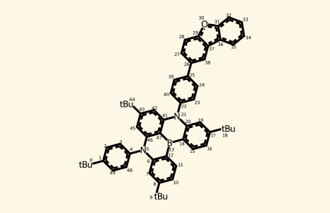 CC(C)(C)c1ccc(N2c3cc(C(C)(C)C)ccc3B3c4ccc(C(C)(C)C)cc4N(c4ccc(-c5ccc6oc7ccccc7c6c5)cc4)c4cc(C(C)(C)C)cc2c43)cc1